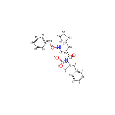 O=C1OCC(Cc2ccccc2)N1C(=O)C(CNOCc1ccccc1)CC1CCCC1